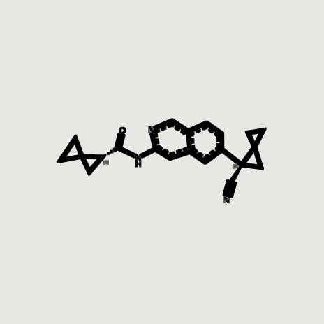 N#C[C@]1(c2ccc3cnc(NC(=O)[C@@H]4CC45CC5)cc3c2)CC12CC2